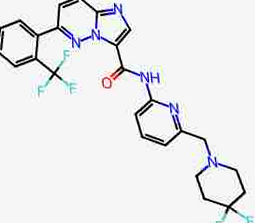 O=C(Nc1cccc(CN2CCC(F)(F)CC2)n1)c1cnc2ccc(-c3ccccc3C(F)(F)F)nn12